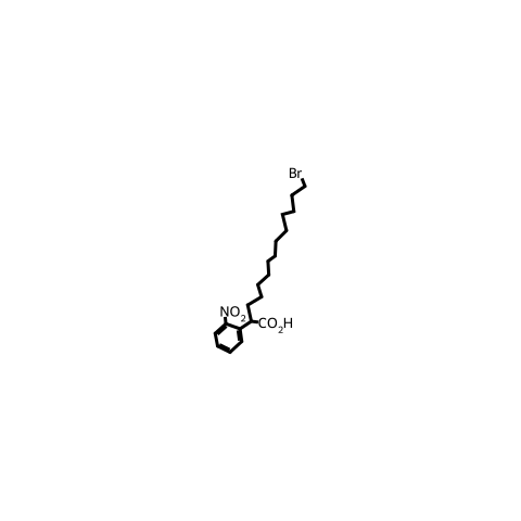 O=C(O)C(CCCCCCCCCCCCBr)c1ccccc1[N+](=O)[O-]